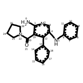 Nc1n[c]c(Nc2ccccc2)c(-c2ccccc2)c1C(=O)N1CCCC1